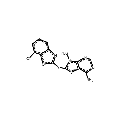 CCCCn1c(Sc2nc3cccc(Cl)c3o2)nc2c(N)ncnc21